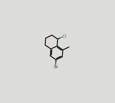 Cc1cc(Br)cc2c1C(Cl)CCC2